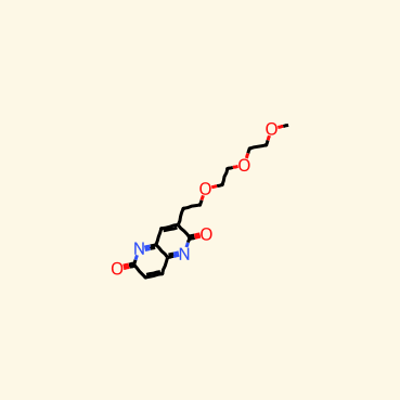 COCCOCCOCCC1=CC2=NC(=O)C=CC2=NC1=O